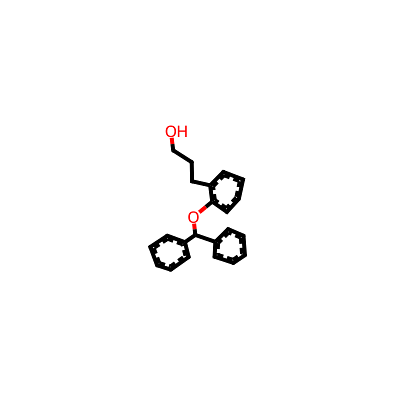 OCCCc1ccccc1OC(c1ccccc1)c1ccccc1